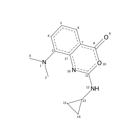 CN(C)c1cccc2c(=O)oc(NC3CC3)nc12